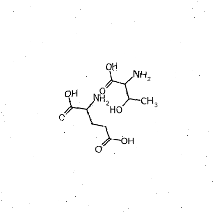 CC(O)C(N)C(=O)O.NC(CCC(=O)O)C(=O)O